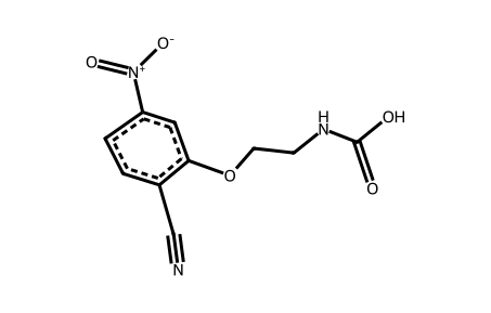 N#Cc1ccc([N+](=O)[O-])cc1OCCNC(=O)O